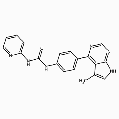 Cc1c[nH]c2ncnc(-c3ccc(NC(=O)Nc4ccccn4)cc3)c12